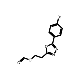 O=COCCc1nnc(-c2ccc(Br)cc2)o1